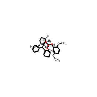 CCN(Cc1cc(SC)ccc1OC)[C@H]1[C@H]2CC[N+](CC)(C[C@@H]2C(=O)O)[C@H]1C(c1ccccc1)c1ccccc1